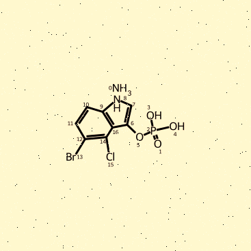 N.O=P(O)(O)Oc1c[nH]c2ccc(Br)c(Cl)c12